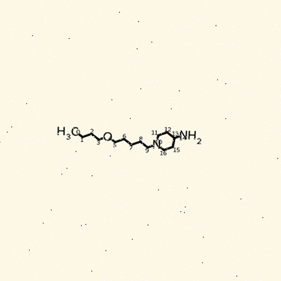 CCCCOCCCCCN1CCC(N)CC1